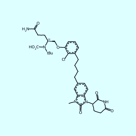 Cn1c(=O)n(C2CCC(=O)NC2=O)c2ccc(CCCCc3cccc(OC[C@H](CCC(N)=O)N(C(=O)O)C(C)(C)C)c3Cl)cc21